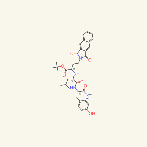 CNC(=O)[C@H](Cc1ccc(O)cc1)NC(=O)[C@H](CC(C)C)N[C@H](CCN1C(=O)c2cc3ccccc3cc2C1=O)C(=O)OC(C)(C)C